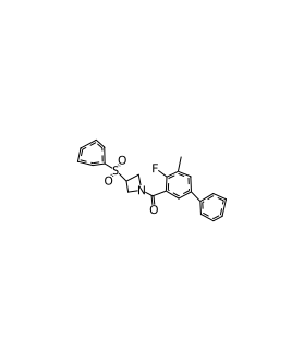 Cc1cc(-c2ccccc2)cc(C(=O)N2CC(S(=O)(=O)c3ccccc3)C2)c1F